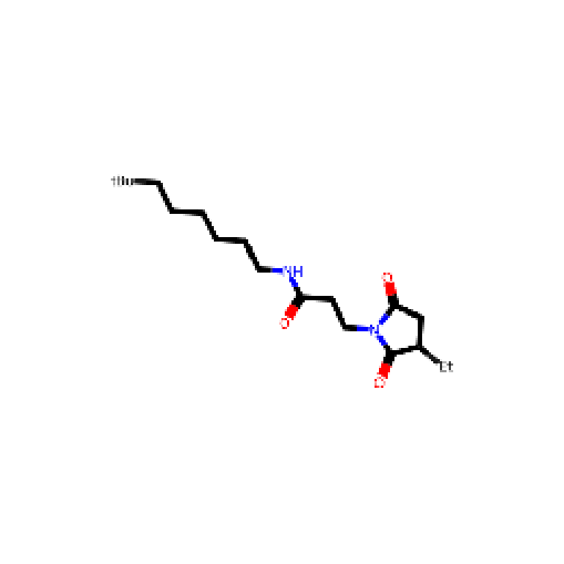 CCC1CC(=O)N(CCC(=O)NCCCCCCC(C)(C)C)C1=O